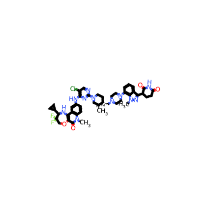 C[C@@H]1CN(c2ncc(Cl)c(Nc3ccc4c(c3)c3c(c(=O)n4C)OCC(F)(F)C(C4CC4)N3)n2)CC[C@@H]1CN1CCN(c2cccc3c(C4CCC(=O)NC4=O)nn(C)c23)CC1